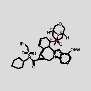 COc1cccc2c1cc1n2CC2=C(C(=O)N(C3CCCCC3)S(=O)(=O)CC(C)C)C2=C2C=CC[C@@H](C(=O)N3[C@@H]4COC[C@H]3CN(C)C4)C21